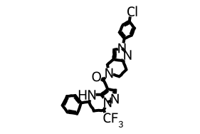 O=C(c1cnn2c1NC(c1ccccc1)CC2C(F)(F)F)N1CCc2nn(-c3ccc(Cl)cc3)cc2C1